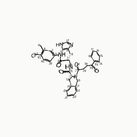 Cc1cc(NC(=O)[C@H](Cc2c[nH]cn2)NC(=O)[C@@H]2Cc3ccccc3CN2C(=O)CCC(=O)c2ccccc2)ccc1Cl